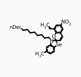 C=Cc1cc([N+](=O)[O-])cc2c1OC1(C=C2)[Se]c2ccc(C)cc2N1CCCCCCCCCCCCCCCCCC